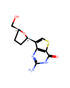 Nc1nc2c([C@H]3CC[C@@H](CO)O3)csc2c(=O)[nH]1